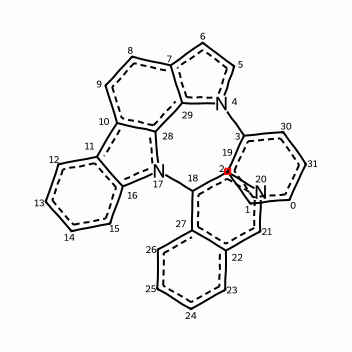 c1ccc(-n2ccc3ccc4c5ccccc5n(-c5cncc6ccccc56)c4c32)cc1